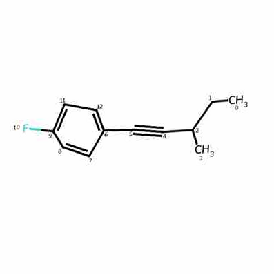 CCC(C)C#Cc1ccc(F)cc1